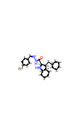 O=C(N/N=C\c1ccc(Br)cc1)c1[nH]c2ccccc2c1Cc1ccccc1